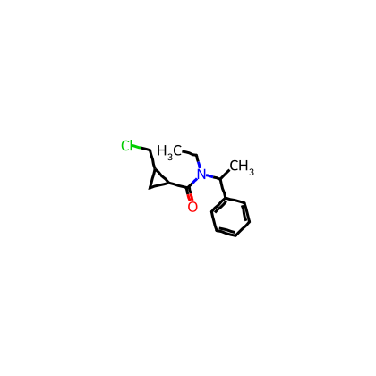 CCN(C(=O)C1CC1CCl)C(C)c1ccccc1